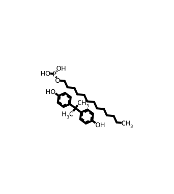 CC(C)(c1ccc(O)cc1)c1ccc(O)cc1.CCCCCCCCCCCCCOP(O)O